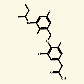 CCC(C)Nc1cc(Cl)cc(COc2c(Cl)cc(CC(=O)O)cc2Cl)c1F